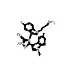 Cc1ccc2c(c1)c(-c1n[nH]c(=O)n1-c1cn(CCCN)c3ccc(F)cc13)cn2C